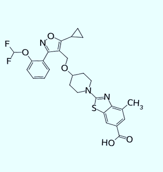 Cc1cc(C(=O)O)cc2sc(N3CCC(OCc4c(-c5ccccc5OC(F)F)noc4C4CC4)CC3)nc12